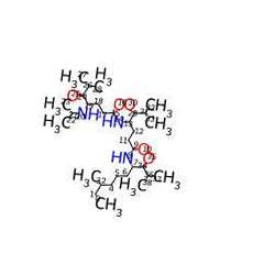 CCC(C)CCCC(NC(=O)CCC(NC(=O)CCC(NC(C)C)C(=O)C(C)C)C(=O)C(C)C)C(=O)C(C)C